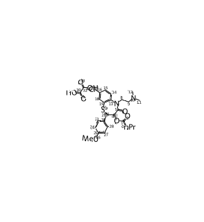 CCCC(=O)O[C@@H]1C(=O)N(CCN(C)C)c2ccc(Cl)cc2S[C@@H]1c1ccc(OC)cc1.O=C(O)C(=O)O